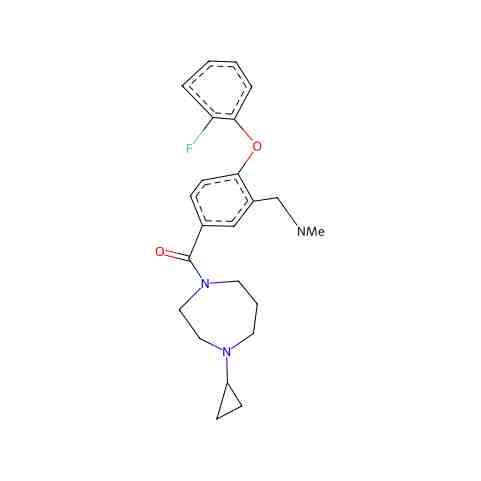 CNCc1cc(C(=O)N2CCCN(C3CC3)CC2)ccc1Oc1ccccc1F